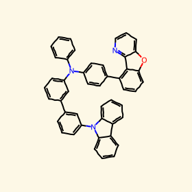 c1ccc(N(c2ccc(-c3cccc4oc5cccnc5c34)cc2)c2cccc(-c3cccc(-n4c5ccccc5c5ccccc54)c3)c2)cc1